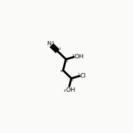 N#CC(O)CC(O)Cl